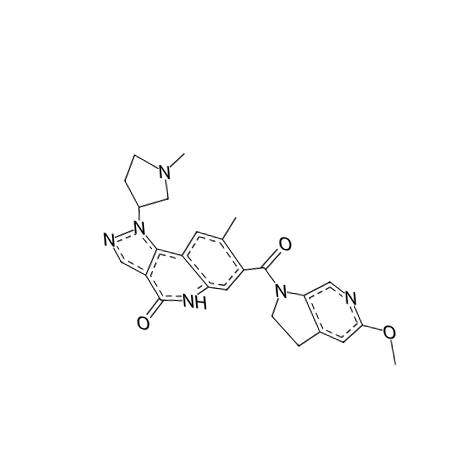 COc1cc2c(cn1)N(C(=O)c1cc3[nH]c(=O)c4cnn(C5CCN(C)C5)c4c3cc1C)CC2